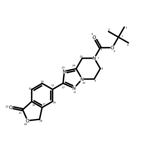 CC(C)(C)OC(=O)N1CCn2nc(-c3ccc4c(c3)COC4=O)nc2C1